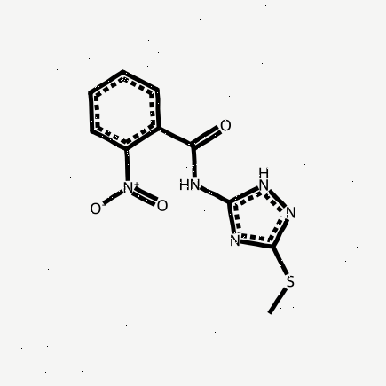 CSc1n[nH]c(NC(=O)c2ccccc2[N+](=O)[O-])n1